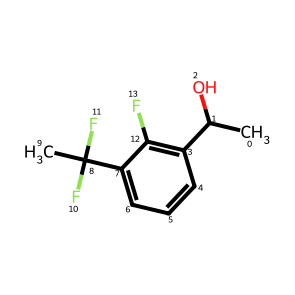 CC(O)c1cccc(C(C)(F)F)c1F